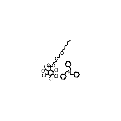 CCCCCCOCCOCCOC(=O)c1c(Cl)c(Cl)c(Cl)c(Cl)c1C(=O)O.c1ccc(CN(Cc2ccccc2)Cc2ccccc2)cc1